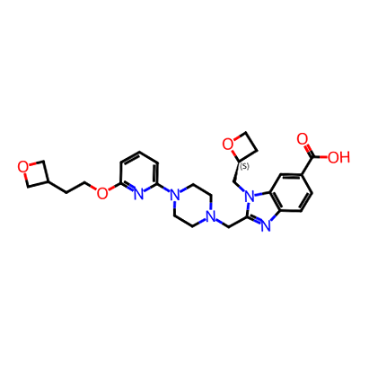 O=C(O)c1ccc2nc(CN3CCN(c4cccc(OCCC5COC5)n4)CC3)n(C[C@@H]3CCO3)c2c1